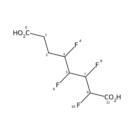 O=C(O)CCC(F)C(F)C(F)C(F)C(=O)O